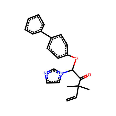 C=CC(C)(C)C(=O)C(Oc1ccc(-c2ccccc2)cc1)n1ccnc1